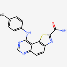 COc1ccc(Nc2ncnc3ccc4nc(C(N)=O)sc4c23)cc1